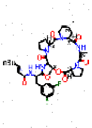 CCCC/C=C/C(=O)NC(Cc1cc(F)cc(F)c1)C(=O)NC1C(=O)N2CCC[C@H]2C(=O)N2CC[C@H](C)C[C@H]2C(=O)N[C@@H](C)C(=O)N2CCC[C@H]2C(=O)O[C@H]1C